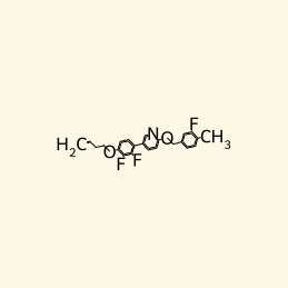 C=CCCOc1ccc(-c2ccc(OCc3ccc(C)c(F)c3)nc2)c(F)c1F